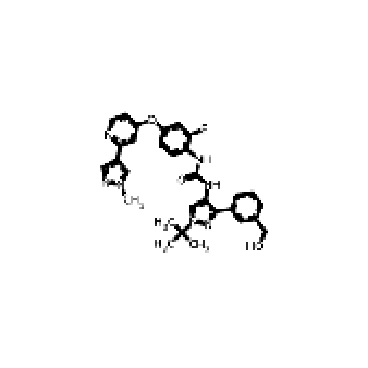 Cn1cc(-c2cc(Oc3ccc(NC(=O)Nc4cn(C(C)(C)C)nc4-c4cccc(CO)c4)c(F)c3)ccn2)cn1